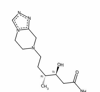 C[C@H](CCN1CCn2cnnc2C1)[C@@H](O)CC(N)=O